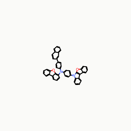 c1ccc2cc(-c3ccc(N(c4ccc(-n5c6ccccc6c6c7ccccc7oc65)cc4)c4cccc5c4oc4ccccc45)cc3)ccc2c1